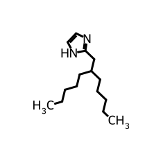 CCCCCC(CCCCC)Cc1ncc[nH]1